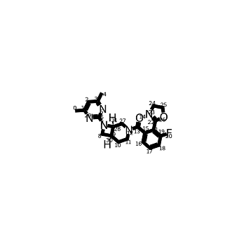 Cc1cc(C)nc(N2C[C@@H]3CCN(C(=O)c4cccc(F)c4C4=NCCO4)C[C@@H]32)n1